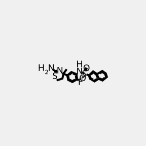 CC1(c2ccc(F)c(NS(=O)(=O)c3ccc4ccccc4c3)c2)CCSC(N)=N1